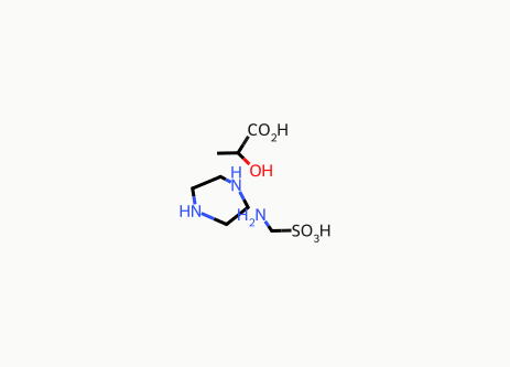 C1CNCCN1.CC(O)C(=O)O.NCS(=O)(=O)O